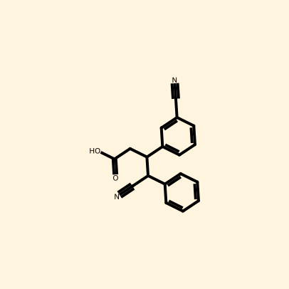 N#Cc1cccc(C(CC(=O)O)C(C#N)c2ccccc2)c1